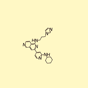 c1cc2c(NCCCn3ccnc3)nc(-c3ccnc(NC4CCCCC4)c3)cc2cn1